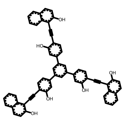 Oc1cc(-c2cc(-c3ccc(C#Cc4c(O)ccc5ccccc45)c(O)c3)cc(-c3ccc(C#Cc4c(O)ccc5ccccc45)c(O)c3)c2)ccc1C#Cc1c(O)ccc2ccccc12